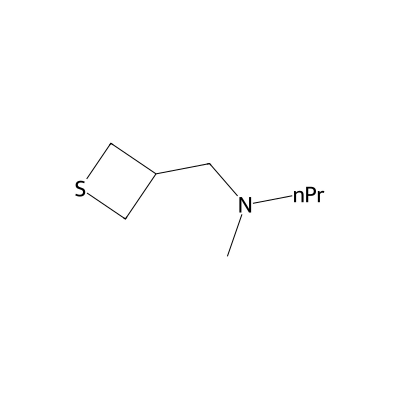 CCCN(C)CC1CSC1